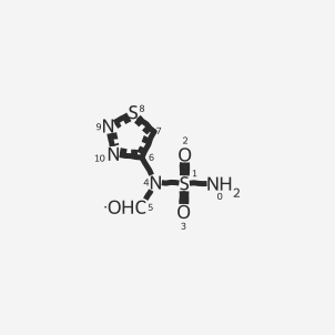 NS(=O)(=O)N([C]=O)c1csnn1